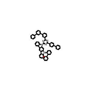 c1ccc(-c2ccc(-c3nc(-c4cccc(-c5cccc(-c6ccccc6)c5)c4)nc(-n4c5ccccc5c5cc6c7ccccc7n(-c7ccccc7-c7ccccc7)c6cc54)n3)cc2)cc1